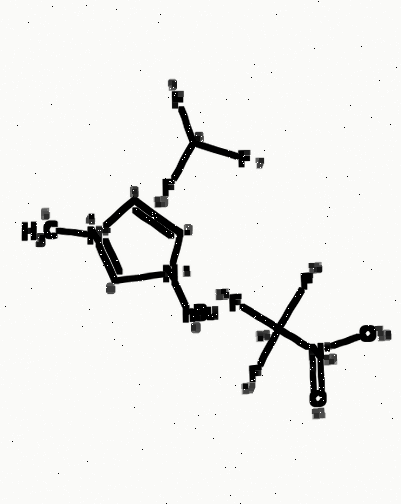 CCCCn1cc[n+](C)c1.FC(F)F.O=[N+]([O-])C(F)(F)F